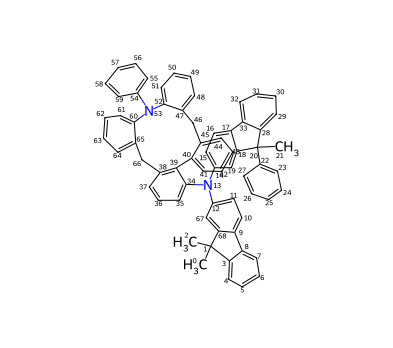 CC1(C)c2ccccc2-c2ccc(N(c3ccc4c(c3)C(C)(c3ccccc3)c3ccccc3-4)c3cccc4c3-c3ccccc3Cc3ccccc3N(c3ccccc3)c3ccccc3C4)cc21